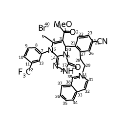 COC(=O)C1=C(C)N(c2cccc(C(F)(F)F)c2)c2n[nH]c(=O)n2C1c1ccc(C#N)cc1CC[n+]1ccc2ccccc2c1.[Br-]